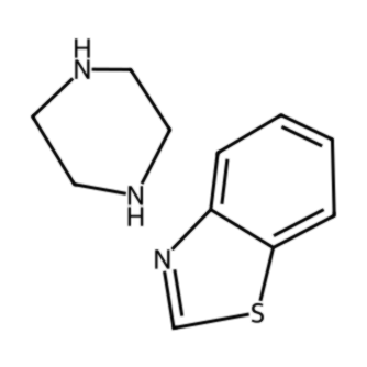 C1CNCCN1.c1ccc2scnc2c1